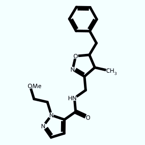 COCCn1nccc1C(=O)NCC1=NOC(Cc2ccccc2)C1C